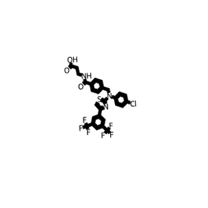 O=C(O)CCNC(=O)c1ccc(CN(c2ccc(Cl)cc2)c2nc(-c3cc(C(F)(F)F)cc(C(F)(F)F)c3)cs2)cc1